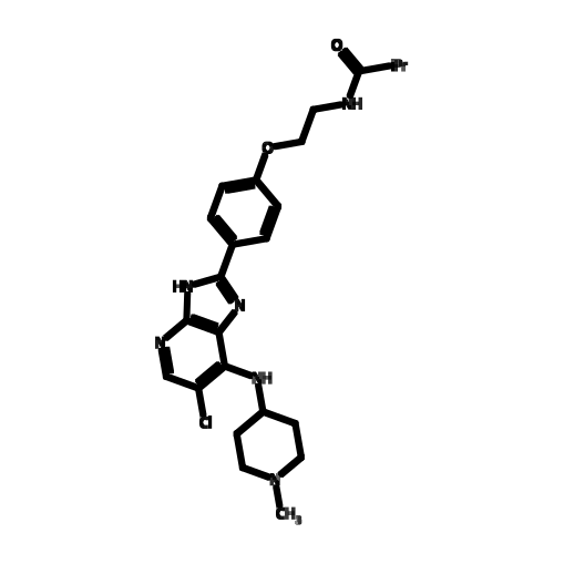 CC(C)C(=O)NCCOc1ccc(-c2nc3c(NC4CCN(C)CC4)c(Cl)cnc3[nH]2)cc1